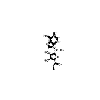 COC(=O)[C@H]1O[C@@H](On2cnc3c(=N)n(C)cnc32)[C@H](O)[C@@H]1O.I